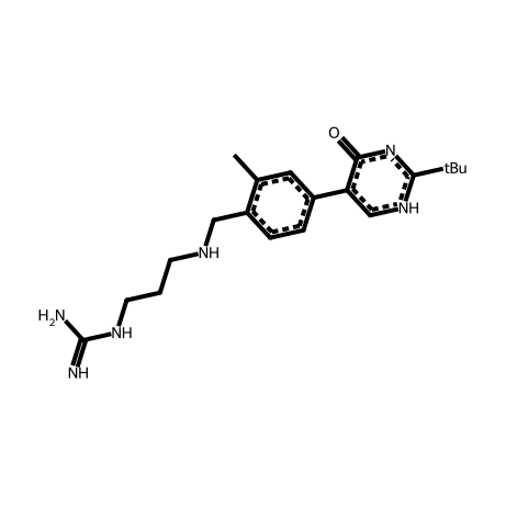 Cc1cc(-c2c[nH]c(C(C)(C)C)nc2=O)ccc1CNCCCNC(=N)N